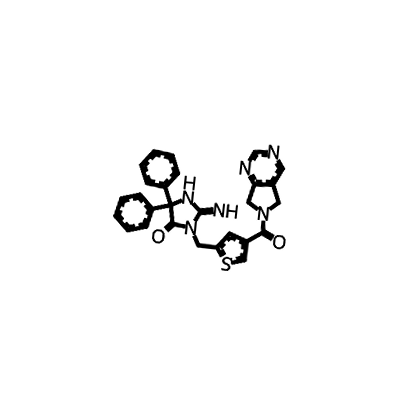 N=C1NC(c2ccccc2)(c2ccccc2)C(=O)N1Cc1cc(C(=O)N2Cc3cncnc3C2)cs1